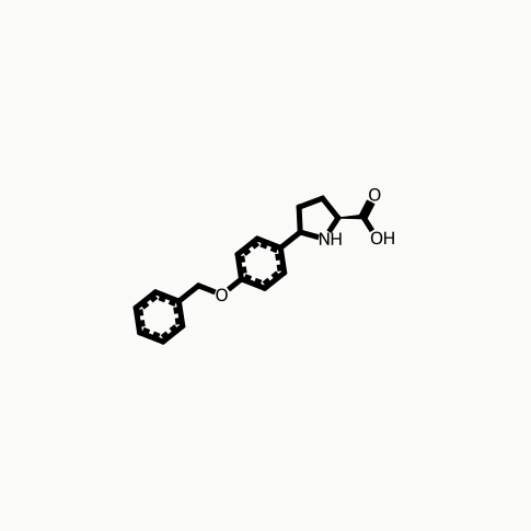 O=C(O)[C@@H]1CCC(c2ccc(OCc3ccccc3)cc2)N1